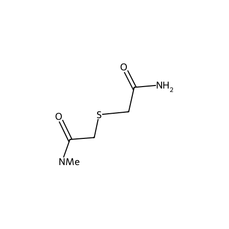 CNC(=O)CSCC(N)=O